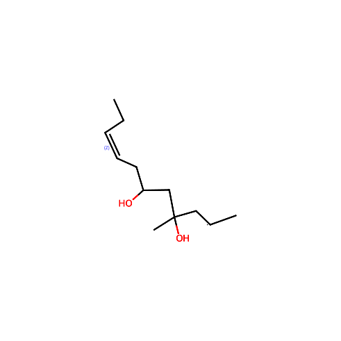 C[CH]CC(C)(O)CC(O)C/C=C\CC